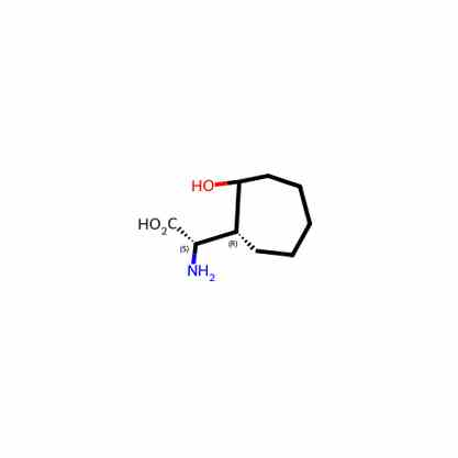 N[C@H](C(=O)O)[C@H]1CCCCCC1O